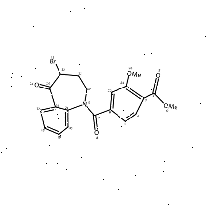 COC(=O)c1ccc(C(=O)N2CCC(Br)C(=O)c3ccccc32)cc1OC